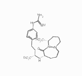 CCOC(=O)[C@H](CCc1ccc(NC(=N)N)cc1)N[C@H]1CCCN2CCC[C@@H](C(=O)O)N2C1=O